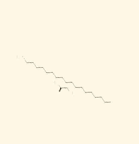 CCCCCCCCCCCCCCCCCCN.O=C(O)CS